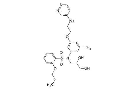 CCCOc1ccccc1S(=O)(=O)N(CC(O)CO)c1cc(C)cc(OCCNc2ccnnc2)c1